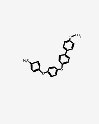 CSc1ccc(-c2ccc(Sc3ccc(Sc4ccc(C)cc4)cc3)cc2)cc1